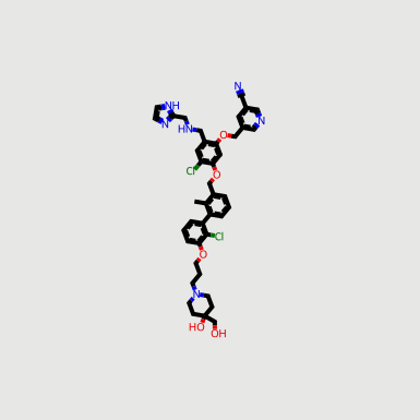 Cc1c(COc2cc(OCc3cncc(C#N)c3)c(CNCc3ncc[nH]3)cc2Cl)cccc1-c1cccc(OCCCN2CCC(O)(CO)CC2)c1Cl